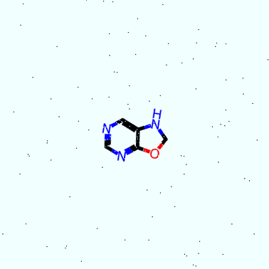 c1ncc2c(n1)OCN2